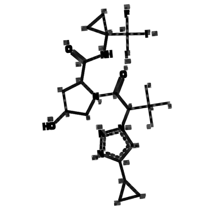 CC(C)(C)C(C(=O)N1CC(O)CC1C(=O)NC1(C(F)(F)F)CC1)n1cc(C2CC2)nn1